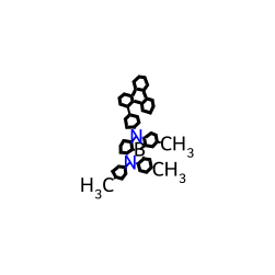 Cc1ccc(N2c3ccc(C)cc3B3c4cc(C)ccc4N(c4ccc(-c5cccc6c7ccccc7c7ccccc7c56)cc4)c4cccc2c43)cc1